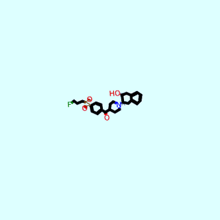 O=C(c1ccc(S(=O)(=O)CCCF)cc1)C1CCN([C@@H]2Cc3ccccc3C[C@H]2O)CC1